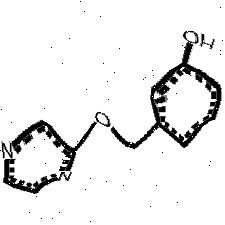 Oc1cccc(COc2cnccn2)c1